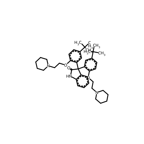 CC(C)(C)c1ccc(OCCN2CCCCC2)c(C2(c3cc(C(C)(C)C)ccc3OCCN3CCCCC3)C(=O)Nc3ccccc32)c1